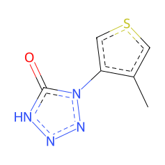 Cc1cscc1-n1nn[nH]c1=O